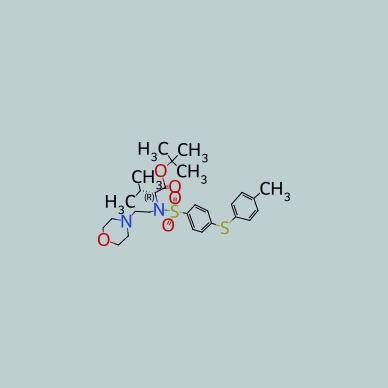 Cc1ccc(Sc2ccc(S(=O)(=O)N(CCN3CCOCC3)[C@@H](C(=O)OC(C)(C)C)C(C)C)cc2)cc1